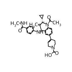 CNC(=O)c1ccc(N[C@H]2c3cc(C4=CCN(C(=O)O)CC4)ccc3N(C(C)=O)[C@@H](C3CC3)[C@@H]2C)cc1